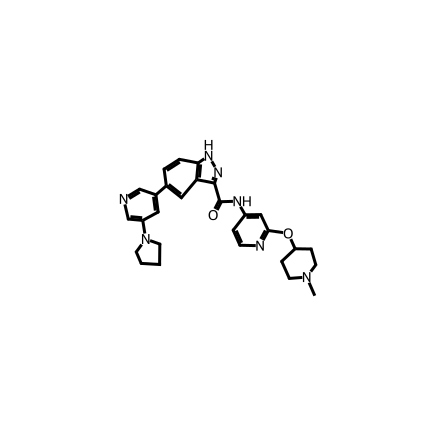 CN1CCC(Oc2cc(NC(=O)c3n[nH]c4ccc(-c5cncc(N6CCCC6)c5)cc34)ccn2)CC1